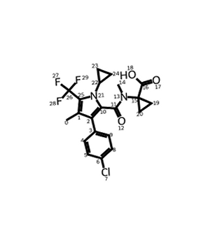 Cc1c(-c2ccc(Cl)cc2)c(C(=O)N(C)C2(C(=O)O)CC2)n(C2CC2)c1C(F)(F)F